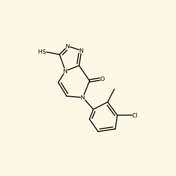 Cc1c(Cl)cccc1-n1ccn2c(S)nnc2c1=O